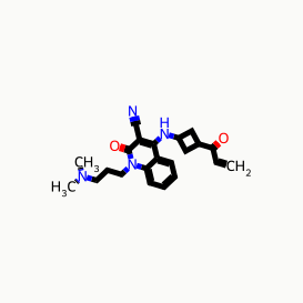 C=CC(=O)C1CC(Nc2c(C#N)c(=O)n(CCCN(C)C)c3ccccc23)C1